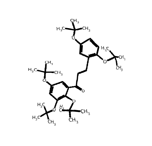 CC(C)(C)Oc1ccc(OC(C)(C)C)c(CCC(=O)c2cc(OC(C)(C)C)cc(OC(C)(C)C)c2OC(C)(C)C)c1